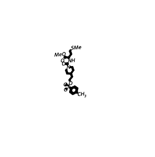 COC(=O)C(CCSC)NC(=O)N1CCC(CCOS(=O)(=O)c2ccc(C)cc2)CC1